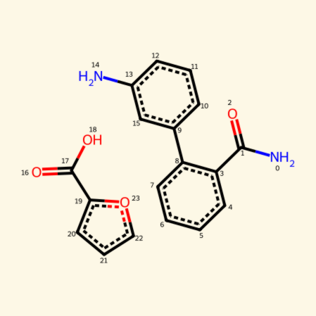 NC(=O)c1ccccc1-c1cccc(N)c1.O=C(O)c1ccco1